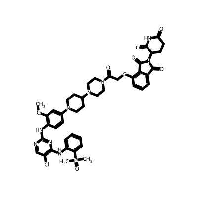 COc1cc(N2CCC(N3CCN(C(=O)CSc4cccc5c4C(=O)N(C4CCC(=O)NC4=O)C5=O)CC3)CC2)ccc1Nc1ncc(Cl)c(Nc2ccccc2P(C)(C)=O)n1